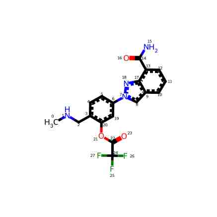 CNCc1ccc(-n2cc3cccc(C(N)=O)c3n2)cc1OC(=O)C(F)(F)F